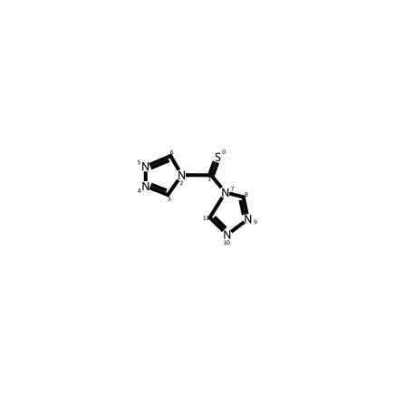 S=C(n1cnnc1)n1cnnc1